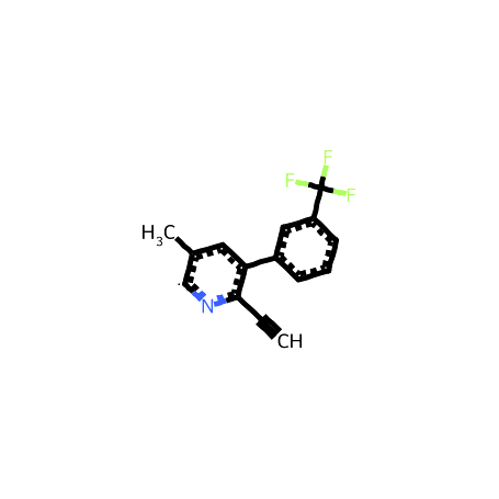 C#Cc1n[c]c(C)cc1-c1cccc(C(F)(F)F)c1